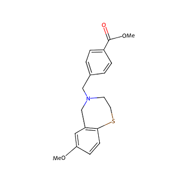 COC(=O)c1ccc(CN2CCSc3ccc(OC)cc3C2)cc1